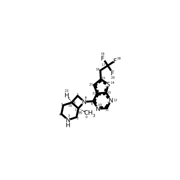 C[C@]12CNCC[C@H]1CN2c1ncnc2sc(CC(F)(F)F)cc12